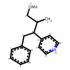 COCC(C)C(Cc1ccccc1)c1ccncc1